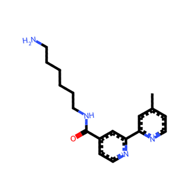 Cc1ccnc(-c2cc(C(=O)NCCCCCCN)ccn2)c1